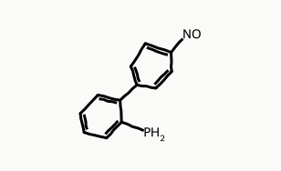 O=Nc1ccc(-c2ccccc2P)cc1